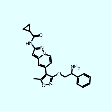 Cc1onc(OCC(N)c2ccccc2)c1-c1ccn2nc(NC(=O)C3CC3)cc2c1